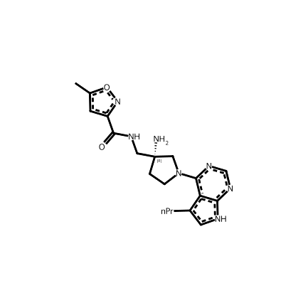 CCCc1c[nH]c2ncnc(N3CC[C@@](N)(CNC(=O)c4cc(C)on4)C3)c12